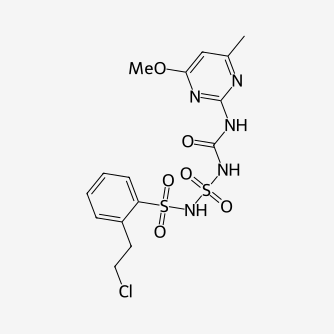 COc1cc(C)nc(NC(=O)NS(=O)(=O)NS(=O)(=O)c2ccccc2CCCl)n1